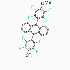 COc1c(F)c(F)c(-c2c3ccccc3c(-c3c(F)c(F)c(C(F)(F)F)c(F)c3F)c3ccccc23)c(F)c1F